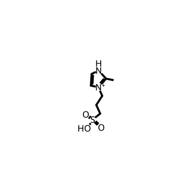 Cc1[nH]cc[n+]1CCCS(=O)(=O)O